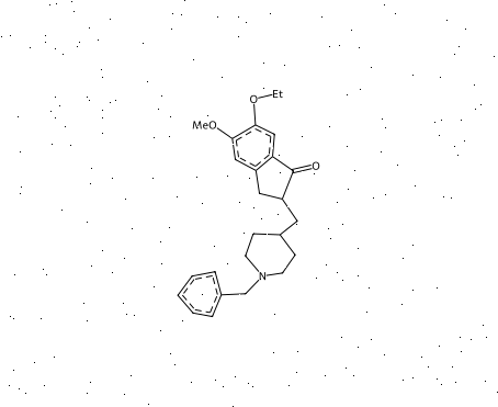 CCOc1cc2c(cc1OC)CC(CC1CCN(Cc3ccccc3)CC1)C2=O